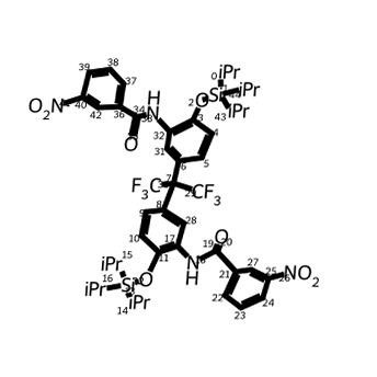 CC(C)[Si](Oc1ccc(C(c2ccc(O[Si](C(C)C)(C(C)C)C(C)C)c(NC(=O)c3cccc([N+](=O)[O-])c3)c2)(C(F)(F)F)C(F)(F)F)cc1NC(=O)c1cccc([N+](=O)[O-])c1)(C(C)C)C(C)C